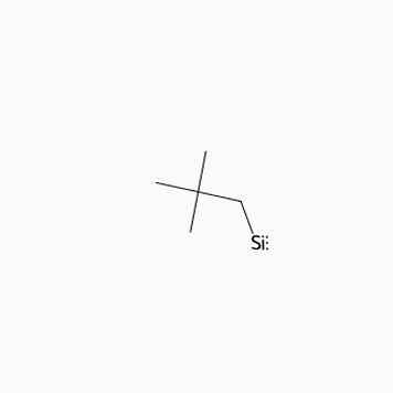 CC(C)(C)C[Si]